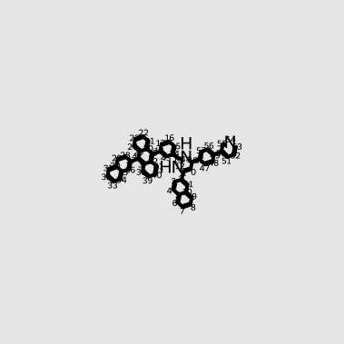 C1=C(c2ccc3ccccc3c2)NC(c2cccc(-c3c4ccccc4c(-c4ccc5ccccc5c4)c4ccccc34)c2)NC1c1ccc(-c2cccnc2)cc1